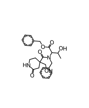 CC(O)C(C(=O)OCc1ccccc1)N(Cc1ccccc1)C(=O)C1(CO)CCNC(=O)C1